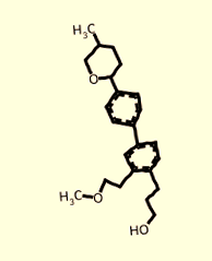 COCCc1cc(-c2ccc(C3CCC(C)CO3)cc2)ccc1CCCO